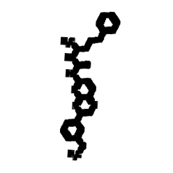 COc1cccc(-c2cnc3ccc(NC(=O)NC(C)CCCc4ccccc4)nc3n2)c1